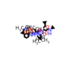 C[C@@H](C1CC1)N(C)S(=O)(=O)CC1(NC(=O)N[C@H](C(=O)N2C[C@H]3[C@@H]([C@H]2C(=O)N[C@@H](CCC2CC2)C(=O)C(=O)NC2CC2)C3(C)C)C(C)(C)C)CCCCC1